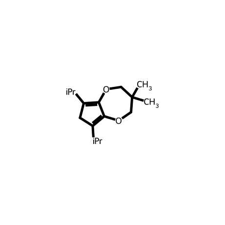 CC(C)C1=C2OCC(C)(C)COC2=C(C(C)C)C1